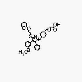 COc1cccc(-c2c(SCCOC3CCCCO3)nn(C[C@H]3CC[C@@H](COCC(=O)O)CC3)c2-c2ccccc2)c1